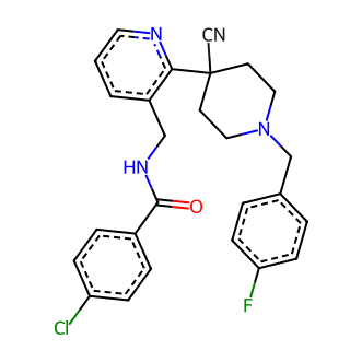 N#CC1(c2ncccc2CNC(=O)c2ccc(Cl)cc2)CCN(Cc2ccc(F)cc2)CC1